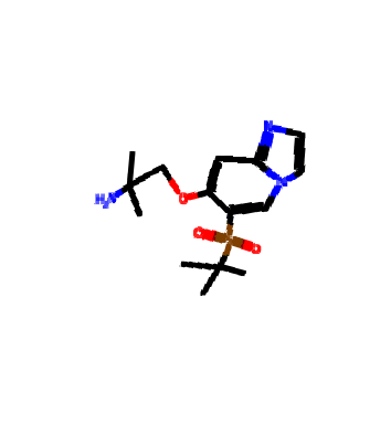 CC(C)(N)COc1cc2nccn2cc1S(=O)(=O)C(C)(C)C